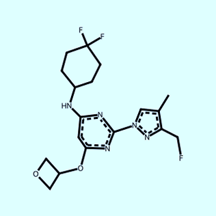 Cc1cn(-c2nc(NC3CCC(F)(F)CC3)cc(OC3COC3)n2)nc1CF